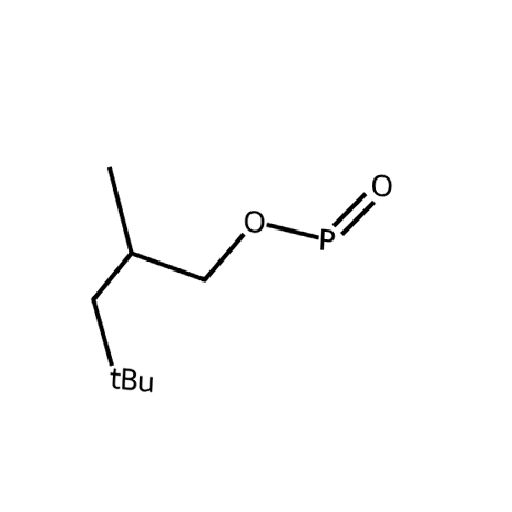 CC(COP=O)CC(C)(C)C